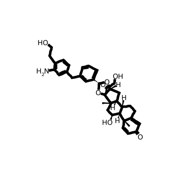 C[C@]12C=CC(=O)C=C1CC[C@@H]1[C@@H]2[C@@H](O)C[C@@]2(C)[C@H]1C[C@H]1O[C@@H](c3cccc(Cc4ccc(CCO)c(N)c4)c3)O[C@]12C(=O)CO